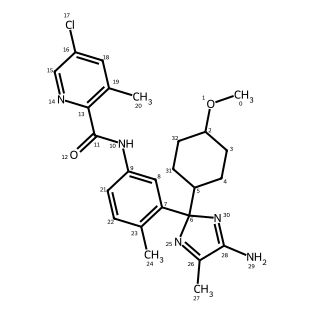 COC1CCC(C2(c3cc(NC(=O)c4ncc(Cl)cc4C)ccc3C)N=C(C)C(N)=N2)CC1